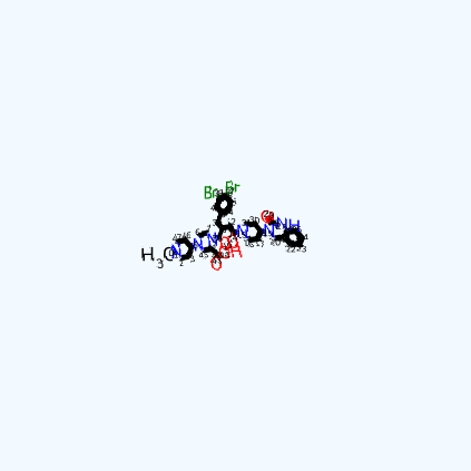 CN1CCC(N2CCN(C(=O)C(CC(=O)N3CCC(N4Cc5ccccc5NC4=O)CC3)Cc3ccc(Br)c(Br)c3)C(C(=O)O)C2)CC1